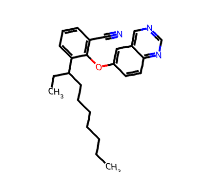 CCCCCCCC(CC)c1cccc(C#N)c1Oc1ccc2ncncc2c1